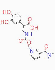 CN(C)C(=O)c1ccc[n+](COC(=O)NCC(C(=O)O)c2ccc(O)c(O)c2)c1